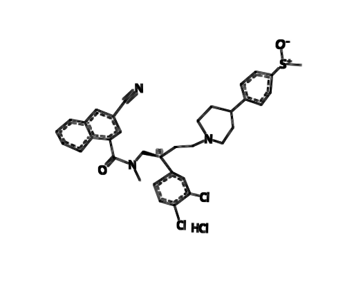 CN(C[C@@H](CCN1CCC(c2ccc([S+](C)[O-])cc2)CC1)c1ccc(Cl)c(Cl)c1)C(=O)c1cc(C#N)cc2ccccc12.Cl